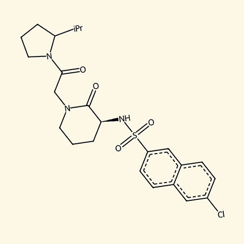 CC(C)C1CCCN1C(=O)CN1CCC[C@H](NS(=O)(=O)c2ccc3cc(Cl)ccc3c2)C1=O